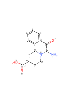 NC(C(=O)c1ccccc1)N1CCC(C(=O)O)CC1